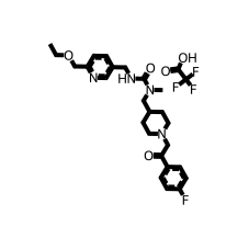 CCOCc1ccc(CNC(=O)N(C)CC2CCN(CC(=O)c3ccc(F)cc3)CC2)cn1.O=C(O)C(F)(F)F